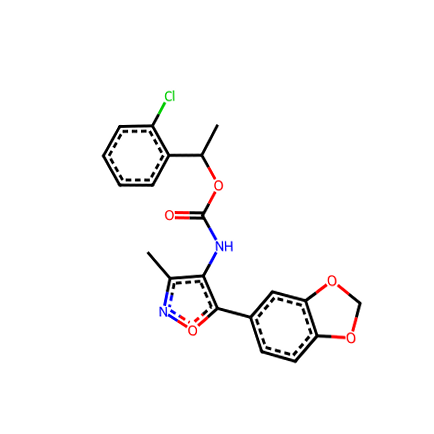 Cc1noc(-c2ccc3c(c2)OCO3)c1NC(=O)OC(C)c1ccccc1Cl